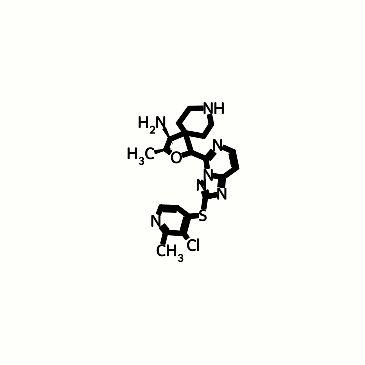 Cc1nccc(Sc2nc3ccnc(C4O[C@@H](C)[C@@H](N)C45CCNCC5)n3n2)c1Cl